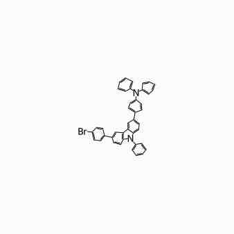 Brc1ccc(-c2ccc3c(c2)c2cc(-c4ccc(N(c5ccccc5)c5ccccc5)cc4)ccc2n3-c2ccccc2)cc1